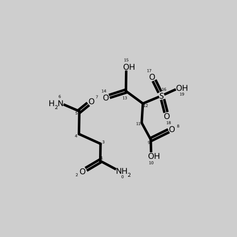 NC(=O)CCC(N)=O.O=C(O)CC(C(=O)O)S(=O)(=O)O